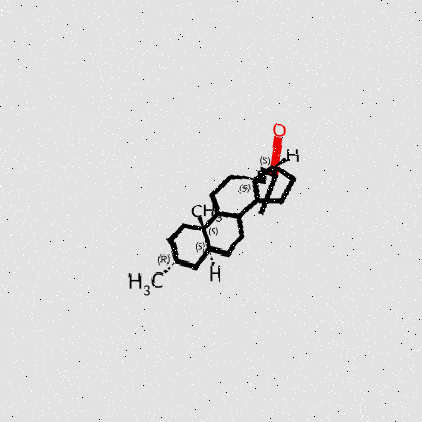 C[C@@H]1CC[C@]2(C)C3CC[C@]45C=CC(=O)[C@H]4CCC5C3CC[C@H]2C1